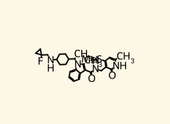 CSc1cc(C)[nH]c(=O)c1CNC(=O)c1c(C)n([C@H](C)C2CCC(NCC3(F)CC3)CC2)c2ccccc12